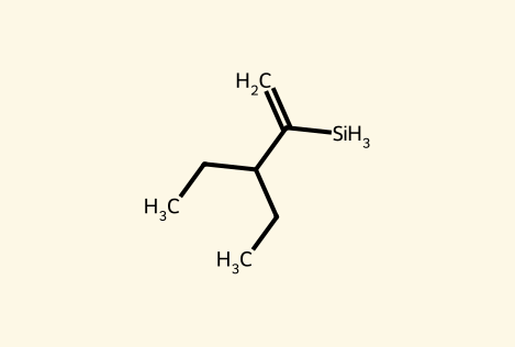 C=C([SiH3])C(CC)CC